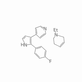 CCN1CC=CCC1.Fc1ccc(-c2[nH]ccc2-c2ccncc2)cc1